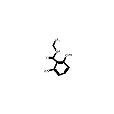 COc1cccc(C)c1C(=O)NCC(F)(F)F